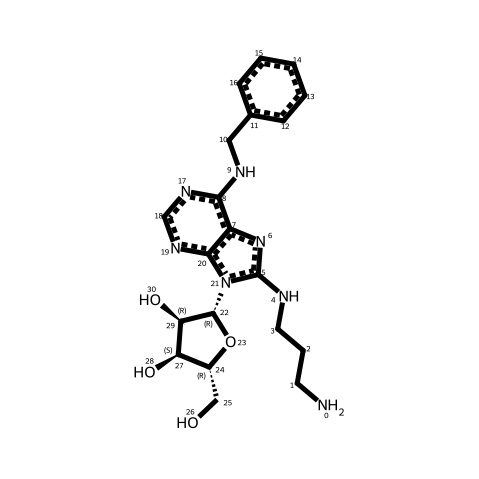 NCCCNc1nc2c(NCc3ccccc3)ncnc2n1[C@@H]1O[C@H](CO)[C@@H](O)[C@H]1O